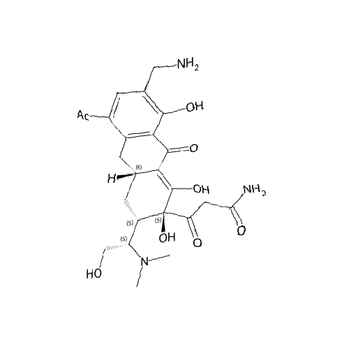 CC(=O)c1cc(CN)c(O)c2c1C[C@H]1C[C@@H]([C@@H](CO)N(C)C)[C@@](O)(C(=O)CC(N)=O)C(O)=C1C2=O